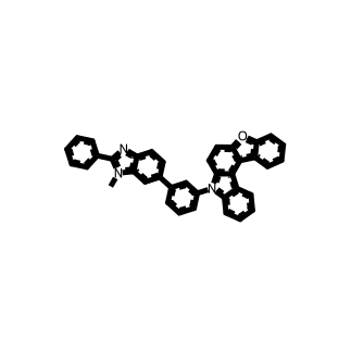 Cn1c(-c2ccccc2)nc2ccc(-c3cccc(-n4c5ccccc5c5c6c(ccc54)oc4ccccc46)c3)cc21